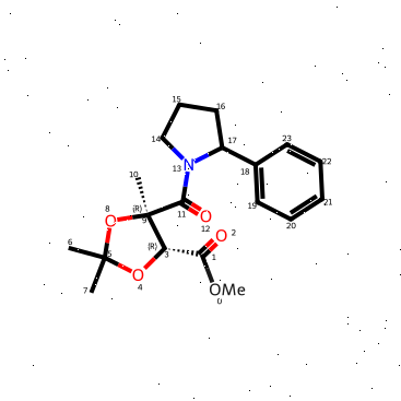 COC(=O)[C@@H]1OC(C)(C)O[C@@]1(C)C(=O)N1CCCC1c1ccccc1